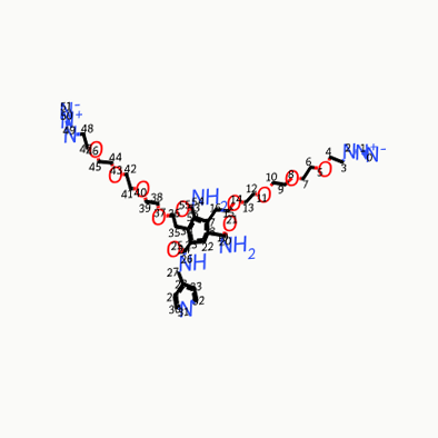 [N-]=[N+]=NCCOCCOCCOCCOCCc1c(C(N)=O)cc(C(=O)NCc2ccncc2)c(CCOCCOCCOCCOCCN=[N+]=[N-])c1C(N)=O